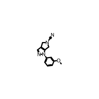 COc1cccc(-n2ncc3c2CN(C#N)C3)c1